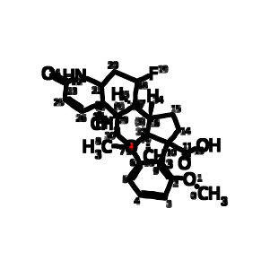 COc1cccc(OC)c1C1(C(=O)O)CC[C@H]2[C@@H]3C(F)CC4NC(=O)C=C[C@]4(C)[C@@H]3CC[C@@]21C